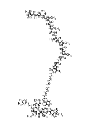 CCN(CC)CCCC[C@H](NC(=O)[C@H](CC(C)C)NC(=O)[C@H](C)NC(=O)[C@H](Cc1ccccc1)NC(=O)c1ccc(C(C)(C)C)cc1)C(=O)N[C@@H](CO)C(=O)NCCOCCOCCOCCOCCOCCNC(=O)c1nc(NC(=O)CCNC(=O)c2cc(NC(=O)c3nc(NC(=O)[C@H](N)CCNC(=O)c4cc(NC(=O)c5nc(NC(=O)c6cc(NC(=O)c7cccn7C)cn6C)cn5C)cn4C)cn3C)cn2C)cn1C